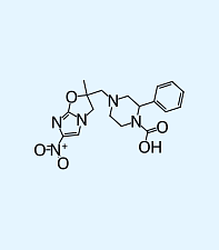 CC1(CN2CCN(C(=O)O)C(c3ccccc3)C2)Cn2cc([N+](=O)[O-])nc2O1